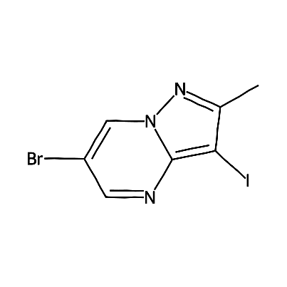 Cc1nn2cc(Br)cnc2c1I